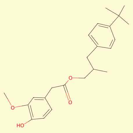 COc1cc(CC(=O)OCC(C)Cc2ccc(C(C)(C)C)cc2)ccc1O